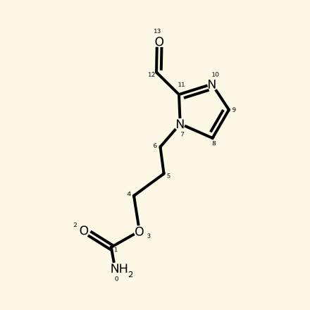 NC(=O)OCCCn1ccnc1C=O